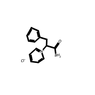 BC(=O)C(Cc1ccccc1)[n+]1ccccc1.[Cl-]